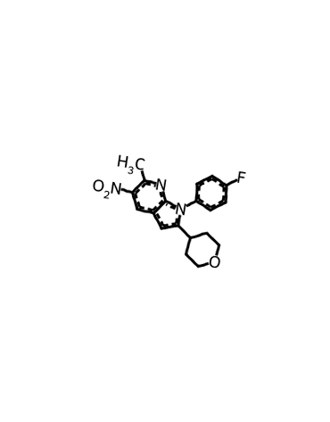 Cc1nc2c(cc1[N+](=O)[O-])cc(C1CCOCC1)n2-c1ccc(F)cc1